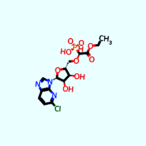 CCOC(=O)[C@@H](OC[C@H]1O[C@@H](n2cnc3ccc(Cl)nc32)[C@H](O)[C@@H]1O)P(=O)(O)O